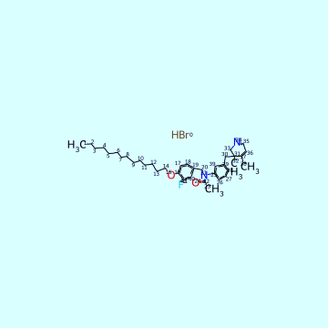 Br.CCCCCCCCCCCCCCOc1ccc(CN(C(C)=O)c2cccc(CC3(C)CN=CC=C3C)c2)cc1F